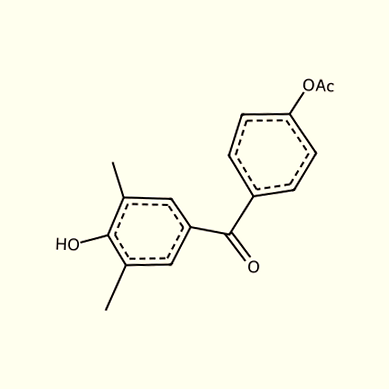 CC(=O)Oc1ccc(C(=O)c2cc(C)c(O)c(C)c2)cc1